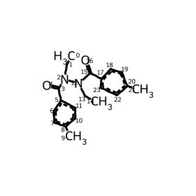 CCN(C(=O)c1ccc(C)cc1)N(CC)C(=O)c1ccc(C)cc1